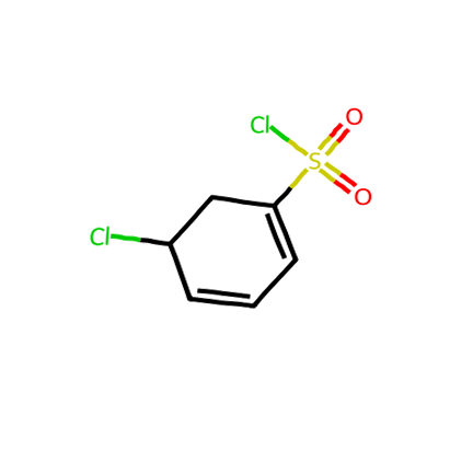 O=S(=O)(Cl)C1=CC=CC(Cl)C1